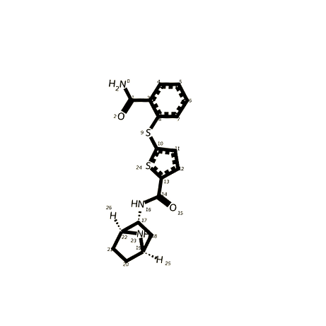 NC(=O)c1ccccc1Sc1ccc(C(=O)N[C@@H]2C[C@H]3CC[C@@H]2N3)s1